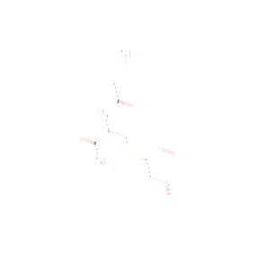 NOCC(=O)NC(CSC(C=O)CC=O)C(N)=O